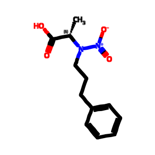 C[C@@H](C(=O)O)N(CCCc1ccccc1)[N+](=O)[O-]